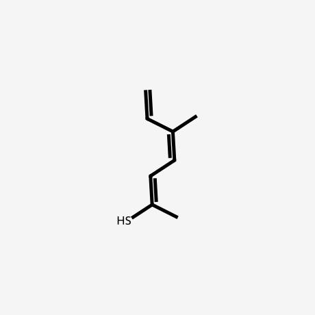 C=C/C(C)=C\C=C(/C)S